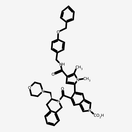 Cc1c(C(=O)NCc2ccc(OCc3ccccc3)cc2)cc(-c2cc3cn(C(=O)O)cc3cc2C(=O)N2Cc3ccccc3C[C@H]2CN2CCOCC2)n1C